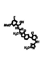 COc1cc(F)cc([C@@H](CO)NC(=O)[C@@H](C)N2Cc3ccc(-c4cc(Nc5cnn(C)n5)ncc4Cl)cc3C2=O)c1